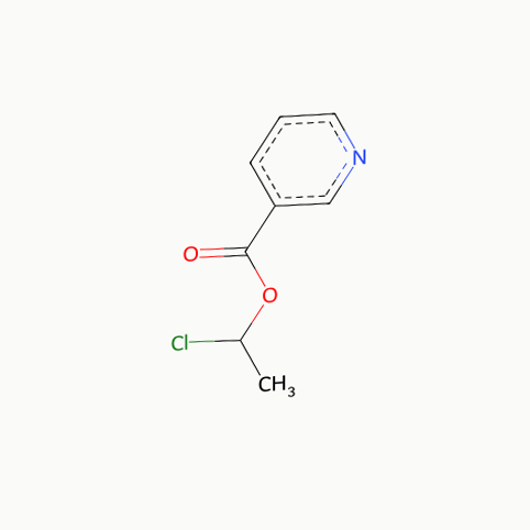 CC(Cl)OC(=O)c1cccnc1